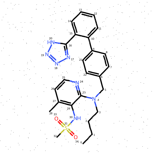 CCCCN(Cc1ccc(-c2ccccc2-c2nnn[nH]2)cc1)c1nccc(C)c1NS(C)(=O)=O